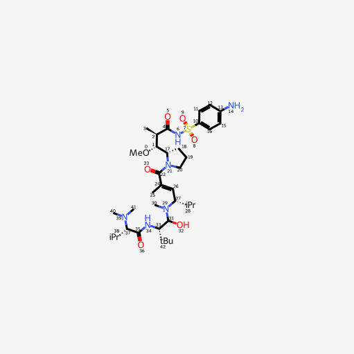 CO[C@H]([C@@H](C)C(=O)NS(=O)(=O)c1ccc(N)cc1)[C@@H]1CCCN1C(=O)/C(C)=C/[C@H](C(C)C)N(C)C(O)[C@@H](NC(=O)[C@H](C(C)C)N(C)C)C(C)(C)C